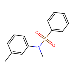 Cc1cccc(N(C)S(=O)(=O)c2ccccc2)c1